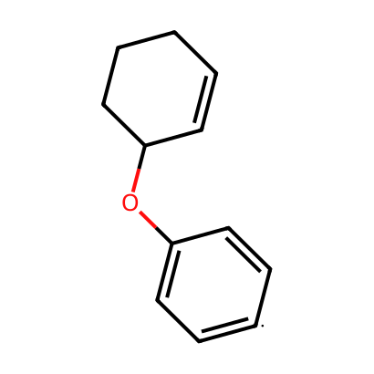 [c]1ccc(OC2C=CCCC2)cc1